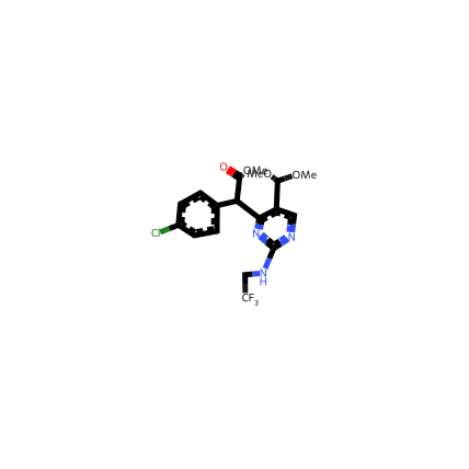 COC(=O)C(c1ccc(Cl)cc1)c1nc(NCC(F)(F)F)ncc1C(OC)OC